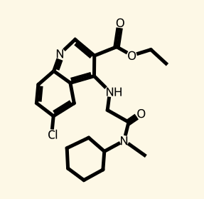 CCOC(=O)c1cnc2ccc(Cl)cc2c1NCC(=O)N(C)C1CCCCC1